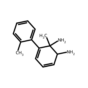 Cc1ccccc1C1=CC=CC(N)C1(C)N